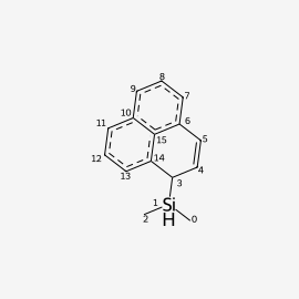 C[SiH](C)C1C=Cc2cccc3cccc1c23